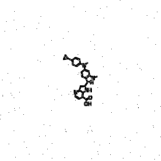 CN(c1ccc(C2CC2)cc1)c1ccc2c(-c3cc4nccc(C(=O)O)c4[nH]3)nn(C)c2c1